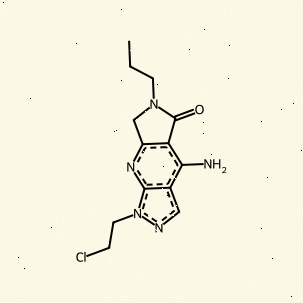 CCCN1Cc2nc3c(cnn3CCCl)c(N)c2C1=O